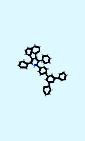 c1ccc(-c2cc(-c3ccccc3)cc(-c3ccc(-c4nc(-c5ccccc5)c5c(c4-c4ccccc4)-c4cccc6cccc-5c46)cc3)c2)cc1